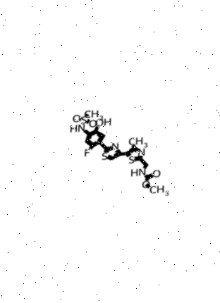 COC(=O)NCc1nc(C)c(-c2csc(-c3cc(O)c(NS(C)(=O)=O)cc3F)n2)s1